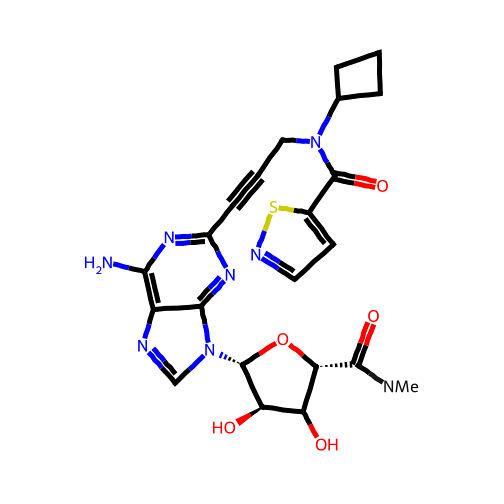 CNC(=O)[C@H]1O[C@@H](n2cnc3c(N)nc(C#CCN(C(=O)c4ccns4)C4CCC4)nc32)[C@H](O)C1O